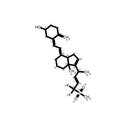 C=C1CCC(O)C/C1=C/C=C1\CCCC2(C)C(C(C)/C=C/C(F)(F)S(C)(=O)=O)=CCC12